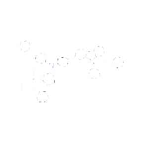 CC1(C)c2ccccc2-c2ccc(N(c3ccc(-c4ccccc4)cc3)c3ccc(-c4ccc5c6ccc7c(c6n(-c6ccccc6)c5c4)Oc4ccccc4O7)cc3)cc21